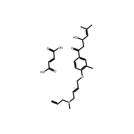 C=CCN(C)C/C=C/COc1ccc(C(=O)CC(O)C=C(C)C)cc1F.O=C(O)/C=C/C(=O)O